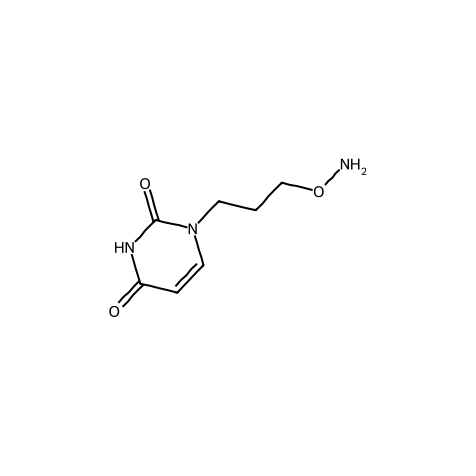 NOCCCn1ccc(=O)[nH]c1=O